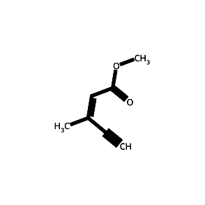 C#CC(C)=CC(=O)OC